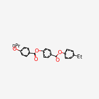 CCCOc1ccc(C(=O)Oc2ccc(C(=O)Oc3ccc(CC)cc3)cc2)cc1